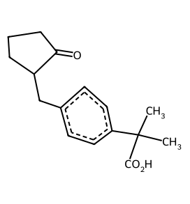 CC(C)(C(=O)O)c1ccc(CC2CCCC2=O)cc1